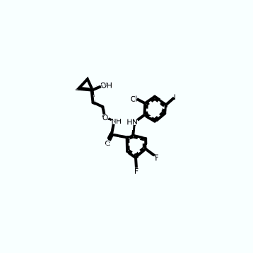 O=C(NOCCC1(O)CC1)c1cc(F)c(F)cc1Nc1ccc(I)cc1Cl